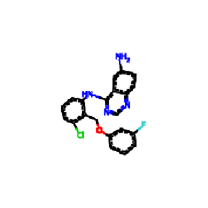 Nc1ccc2ncnc(Nc3cccc(Cl)c3COc3cccc(F)c3)c2c1